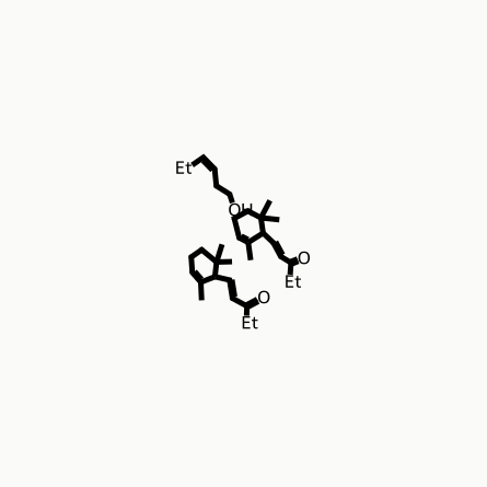 CC/C=C\CCO.CCC(=O)/C=C/C1C(C)=CCCC1(C)C.CCC(=O)/C=C/C1C(C)=CCCC1(C)C